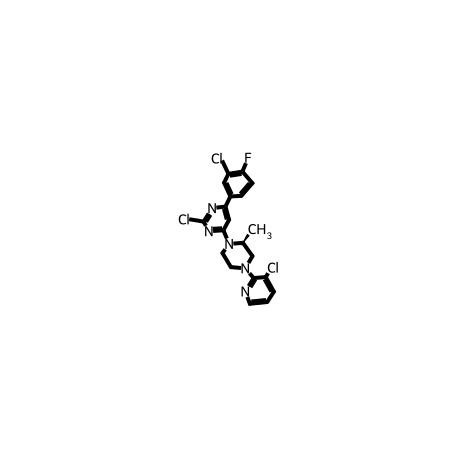 C[C@H]1CN(c2ncccc2Cl)CCN1c1cc(-c2ccc(F)c(Cl)c2)nc(Cl)n1